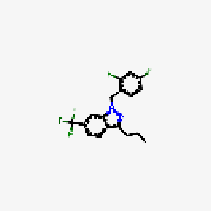 CCCc1nn(Cc2ccc(F)cc2F)c2cc(C(F)(F)F)ccc12